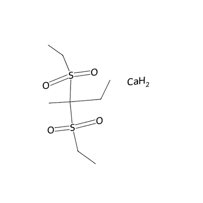 CCC(C)(S(=O)(=O)CC)S(=O)(=O)CC.[CaH2]